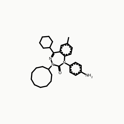 Cc1ccc2c(c1)C(C1CCCCC1)=NN(C1CCCCCCCCC1)C(=O)N2c1ccc(N)cc1